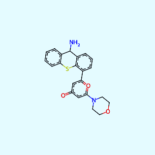 NC1c2ccccc2Sc2c(-c3cc(=O)cc(N4CCOCC4)o3)cccc21